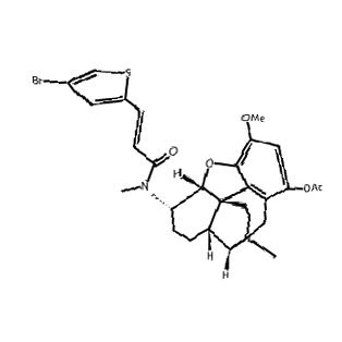 COc1cc(OC(C)=O)c2c3c1O[C@H]1[C@@H](N(C)C(=O)/C=C/c4cc(Br)cs4)CC[C@H]4[C@@H](C2)N(C)CC[C@@]341